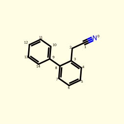 N#CCc1ccccc1-c1ccccc1